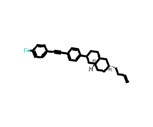 C=CCC[C@@H]1CC[C@@H]2CC(c3ccc(C#Cc4ccc(F)cc4)cc3)CCC2C1